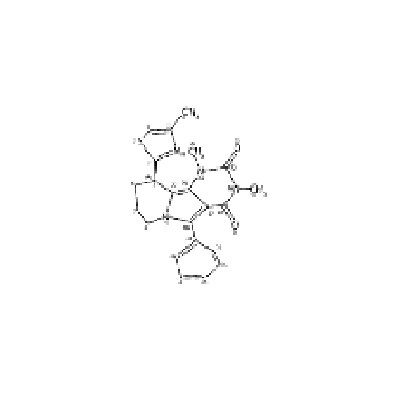 Cc1csc([C@@H]2CCCn3c(-c4ccccc4)c4c(=O)n(C)c(=O)n(C)c4c32)n1